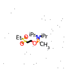 CCS(=O)(=O)CCOP(C)N(C(C)C)C(C)C